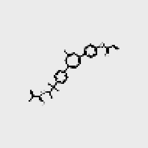 C=CC(=O)Oc1ccc(C2=CC=C(c3ccc(C(C)(C)C(C)OC(=O)C(=C)C)cc3)CC(C)=C2)cc1